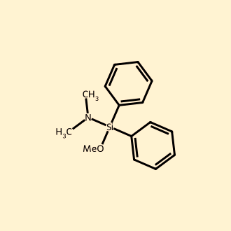 CO[Si](c1ccccc1)(c1ccccc1)N(C)C